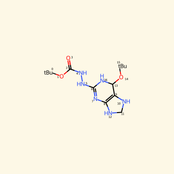 CC(C)(C)OC(=O)NNC1=NC2=C(NCN2)C(OC(C)(C)C)N1